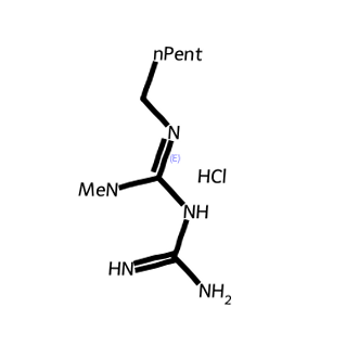 CCCCCC/N=C(\NC)NC(=N)N.Cl